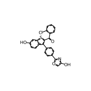 O=C(c1ccccc1Cl)c1sc2cc(O)ccc2c1-c1ccc(-c2nc(O)co2)cc1